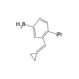 Bc1ccc(C(C)C)c(C=C2CC2)c1